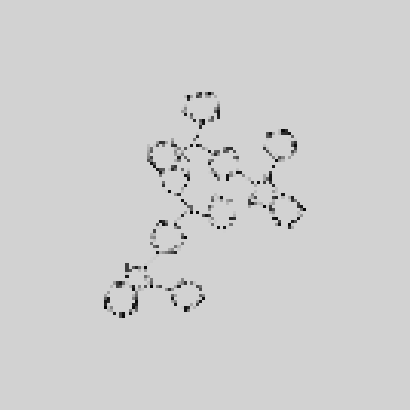 c1ccc(N(c2ccc(-c3nc4ccccc4n3-c3ccccc3)cc2)c2c3ccc4c2C(C3)[C@@H](N(c2ccccc2)c2ccc(-c3nc5ccccc5n3-c3ccccc3)cc2)C4)cc1